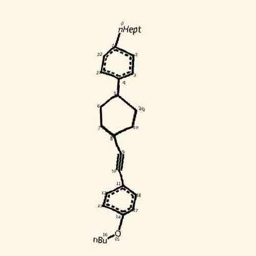 CCCCCCCc1ccc(C2CCC(C#Cc3ccc(OCCCC)cc3)CC2)cc1